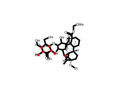 CCO[C@]12CC[C@H]3[C@]4(C)CCC[C@@](C)(C(=O)OCOC)[C@H]4CC[C@@]3(CC1C)[C@H]2CC1OC(CO)C(O)C(OC2OC(CO)C(O)C(O)C2O)C1OC1OC(CO)C(O)C(O)C1O